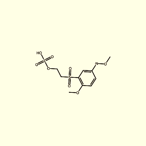 CO[N]c1ccc(OC)c(S(=O)(=O)CCOS(=O)(=O)O)c1